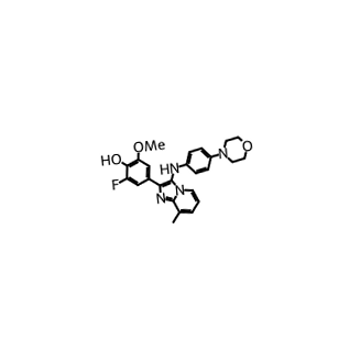 COc1cc(-c2nc3c(C)cccn3c2Nc2ccc(N3CCOCC3)cc2)cc(F)c1O